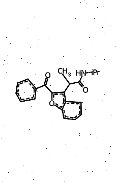 CC(C)NC(=O)C(C)c1c(C(=O)c2ccccc2)oc2ccccc12